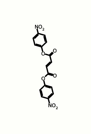 O=C(C=CC(=O)Oc1ccc([N+](=O)[O-])cc1)Oc1ccc([N+](=O)[O-])cc1